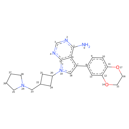 Nc1ncnc2c1c(-c1ccc3c(c1)OCCO3)cn2C1CC(CN2CCCC2)C1